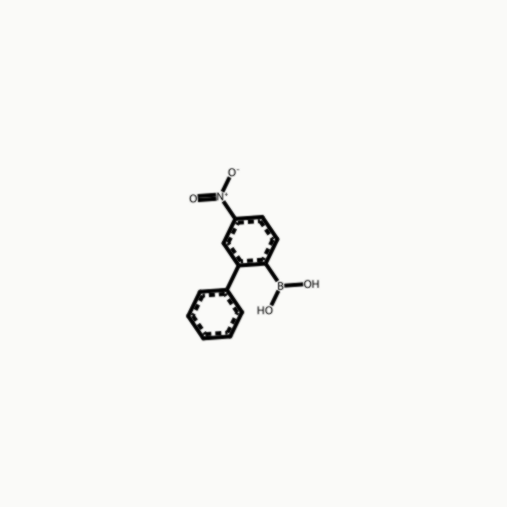 O=[N+]([O-])c1ccc(B(O)O)c(-c2ccccc2)c1